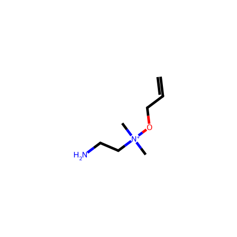 C=CCO[N+](C)(C)CCN